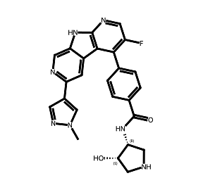 Cn1cc(-c2cc3c(cn2)[nH]c2ncc(F)c(-c4ccc(C(=O)N[C@@H]5CNC[C@@H]5O)cc4)c23)cn1